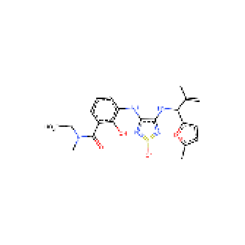 C=C(C)C(Nc1n[s+]([O-])nc1Nc1cccc(C(=O)N(C)CC(=O)O)c1O)c1ccc(C)o1